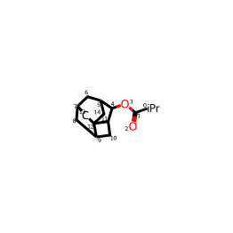 CC(C)C(=O)OC1C2CC3CC4CC1C4(C3)C2